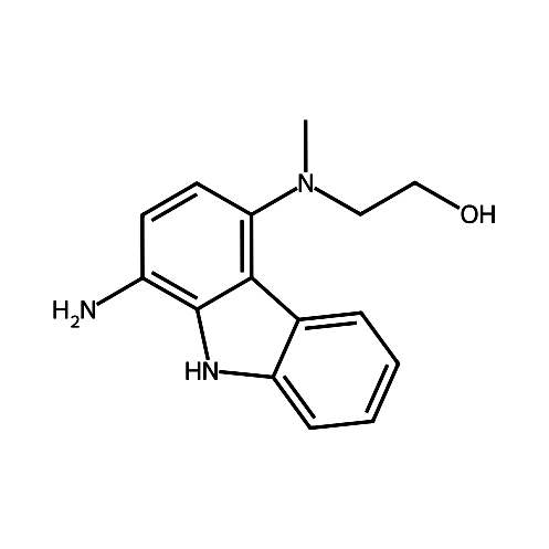 CN(CCO)c1ccc(N)c2[nH]c3ccccc3c12